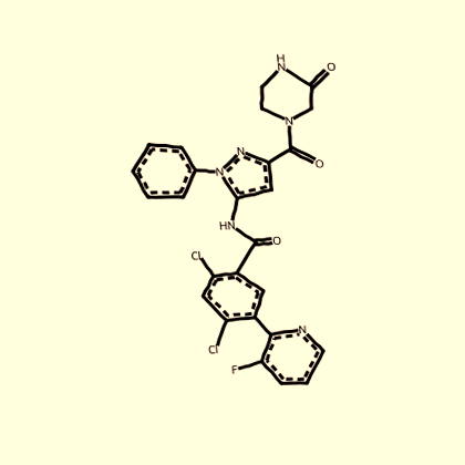 O=C1CN(C(=O)c2cc(NC(=O)c3cc(-c4ncccc4F)c(Cl)cc3Cl)n(-c3ccccc3)n2)CCN1